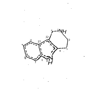 [CH]1NCCc2[nH]c3ccccc3c21